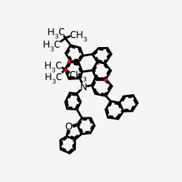 CC(C)(C)c1cc(-c2cccc3cccc(-c4ccccc4N(c4cccc(-c5cccc6ccccc56)c4)c4cccc(-c5cccc6c5oc5ccccc56)c4)c23)cc(C(C)(C)C)c1